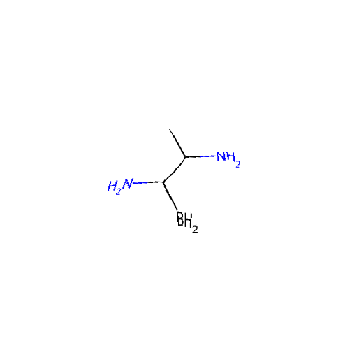 BC(N)C(C)N